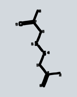 C=C(C)CSSCC(C)=O